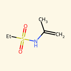 C=C(C)NS(=O)(=O)CC